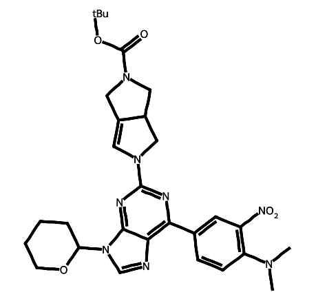 CN(C)c1ccc(-c2nc(N3C=C4CN(C(=O)OC(C)(C)C)CC4C3)nc3c2ncn3C2CCCCO2)cc1[N+](=O)[O-]